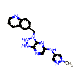 Cn1cc(Nc2cnc3c(n2)N(Cc2ccc4ncccc4c2)NN3)cn1